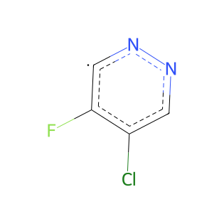 Fc1[c]nncc1Cl